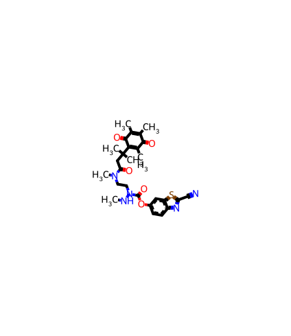 CNN(CCN(C)C(=O)CC(C)(C)C1=C(C)C(=O)C(C)=C(C)C1=O)C(=O)Oc1ccc2nc(C#N)sc2c1